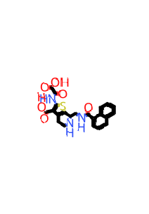 O=C(O)C(=O)Nc1sc2c(c1C(=O)O)CCNC2CNC(=O)c1cccc2ccccc12